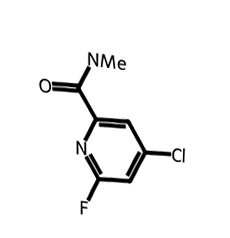 CNC(=O)c1cc(Cl)cc(F)n1